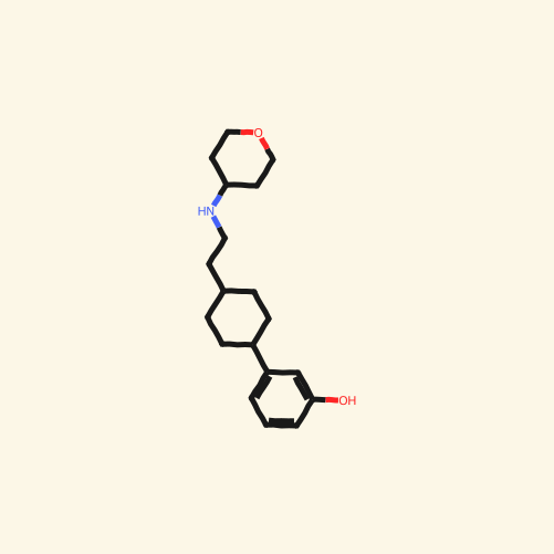 Oc1cccc(C2CCC(CCNC3CCOCC3)CC2)c1